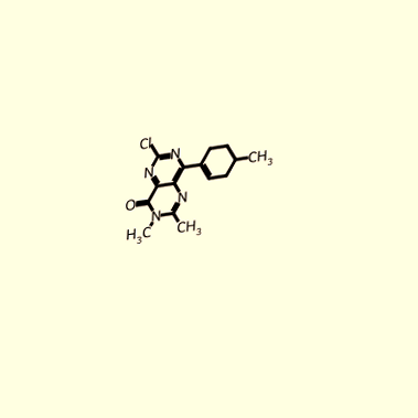 Cc1nc2c(C3=CCC(C)CC3)nc(Cl)nc2c(=O)n1C